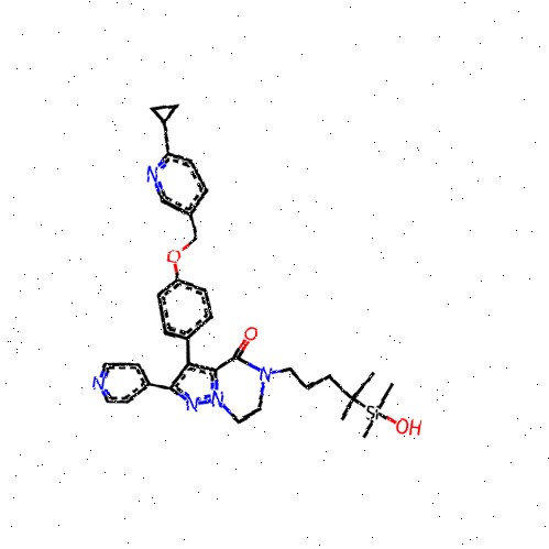 CC(C)(CCCN1CCn2nc(-c3ccncc3)c(-c3ccc(OCc4ccc(C5CC5)nc4)cc3)c2C1=O)[Si](C)(C)O